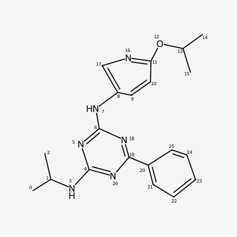 CC(C)Nc1nc(Nc2ccc(OC(C)C)nc2)nc(-c2ccccc2)n1